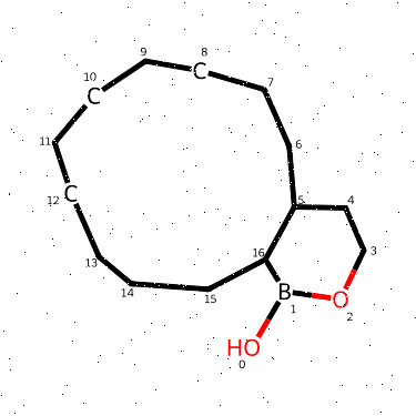 OB1OCCC2CCCCCCCCCCC12